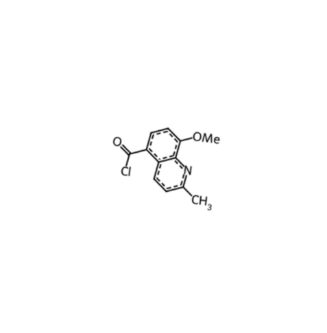 COc1ccc(C(=O)Cl)c2ccc(C)nc12